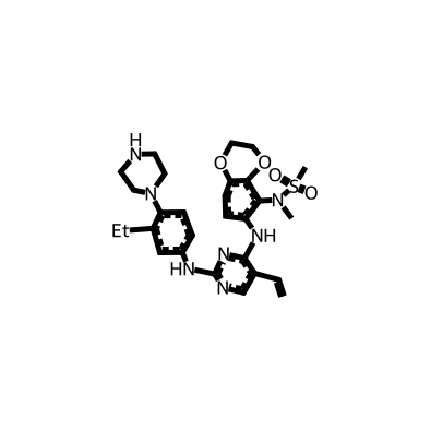 C=Cc1cnc(Nc2ccc(N3CCNCC3)c(CC)c2)nc1Nc1ccc2c(c1N(C)S(C)(=O)=O)OCCO2